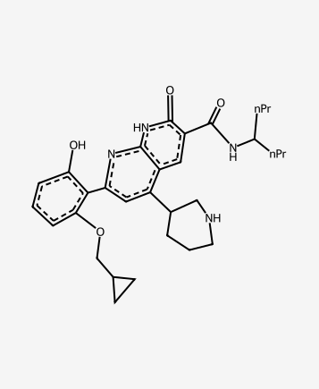 CCCC(CCC)NC(=O)c1cc2c(C3CCCNC3)cc(-c3c(O)cccc3OCC3CC3)nc2[nH]c1=O